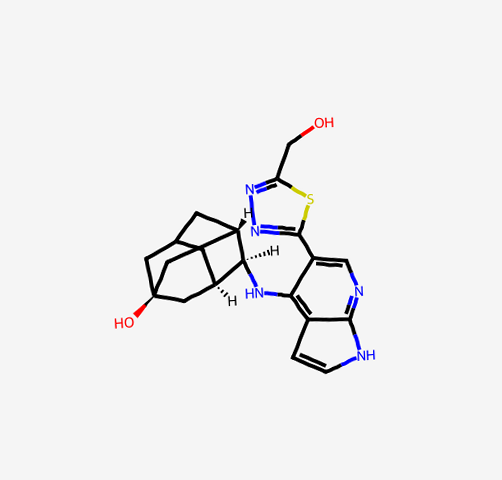 OCc1nnc(-c2cnc3[nH]ccc3c2N[C@H]2[C@@H]3CC4C[C@H]2C[C@@](O)(C4)C3)s1